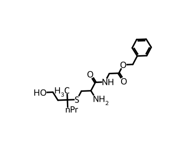 CCCC(C)(CCO)SCC(N)C(=O)NCC(=O)OCc1ccccc1